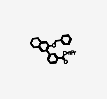 CCCOC(=O)c1cccc(-c2cc3c(cc2OCc2ccccc2)CCCC3)c1